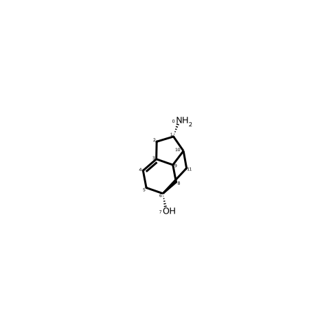 N[C@H]1CC2=CC[C@]3(O)CC2C1C3